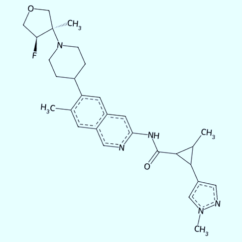 Cc1cc2cnc(NC(=O)C3C(C)C3c3cnn(C)c3)cc2cc1C1CCN([C@]2(C)COC[C@@H]2F)CC1